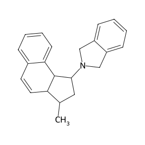 CC1CC(N2Cc3ccccc3C2)C2c3ccccc3C=CC12